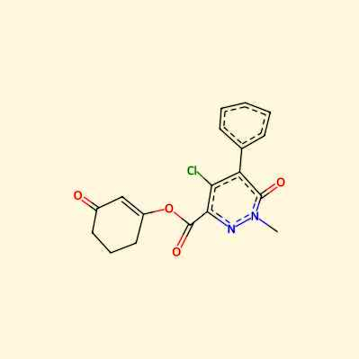 Cn1nc(C(=O)OC2=CC(=O)CCC2)c(Cl)c(-c2ccccc2)c1=O